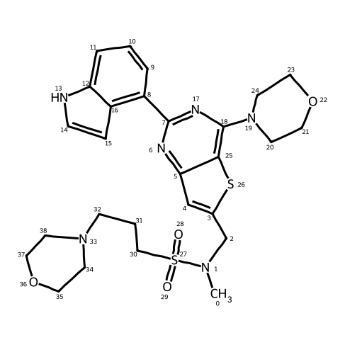 CN(Cc1cc2nc(-c3cccc4[nH]ccc34)nc(N3CCOCC3)c2s1)S(=O)(=O)CCCN1CCOCC1